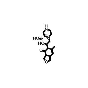 CC1=CC2=COCC2C(=O)C1C(O)CN1CCNC[C@H]1CO